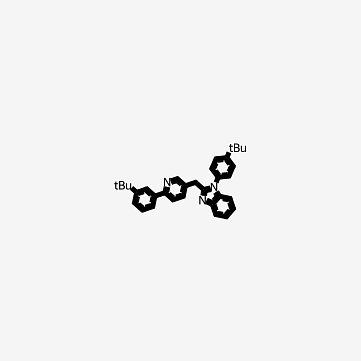 CC(C)(C)c1ccc(-n2c(Cc3ccc(-c4cccc(C(C)(C)C)c4)nc3)nc3ccccc32)cc1